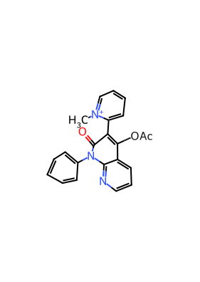 CC(=O)Oc1c(-c2cccc[n+]2C)c(=O)n(-c2ccccc2)c2ncccc12